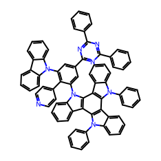 c1ccc(-c2nc(-c3ccccc3)nc(-c3cc(-n4c5ccccc5c5ccccc54)c(-c4ccncc4)c(-n4c5ccccc5c5c6c(c7ccccc7n6-c6ccccc6)c6c(c7ccccc7n6-c6ccccc6)c54)c3)n2)cc1